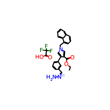 CCOC(=O)c1cn(Cc2cccc3ccccc23)cc1-c1cccc(/C=N\N)c1.O=C(O)C(F)(F)F